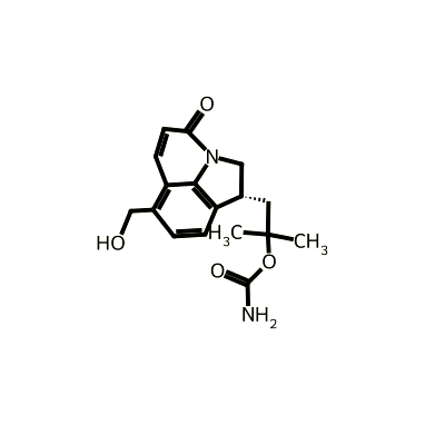 CC(C)(C[C@H]1Cn2c(=O)ccc3c(CO)ccc1c32)OC(N)=O